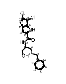 O=C(NC(CO)CSCc1ccccc1)c1cc2sc(Cl)c(Cl)c2[nH]1